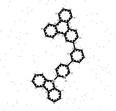 c1cc(-c2ccc(-n3c4ccccc4c4ccccc43)nc2)cc(-c2ccc3c4ccccc4c4ccccc4c3c2)c1